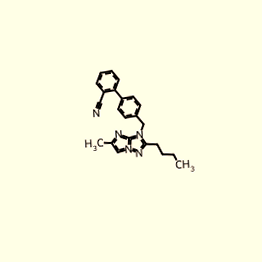 CCCCc1nn2cc(C)nc2n1Cc1ccc(-c2ccccc2C#N)cc1